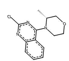 C[C@@H]1COCCN1c1nc(Cl)nc2ccccc12